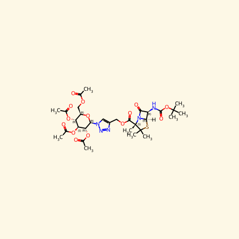 CC(=O)OC[C@H]1O[C@@H](n2cc(COC(=O)[C@]3(C)N4C(=O)[C@@H](NC(=O)OC(C)(C)C)[C@H]4SC3(C)C)nn2)[C@H](OC(C)=O)[C@@H](OC(C)=O)[C@@H]1OC(C)=O